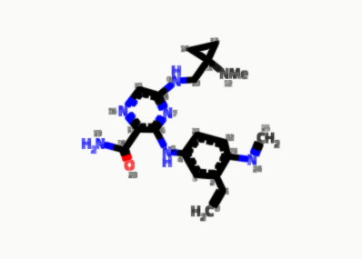 C=Cc1cc(Nc2nc(NCC3(NC)CC3)cnc2C(N)=O)ccc1N=C